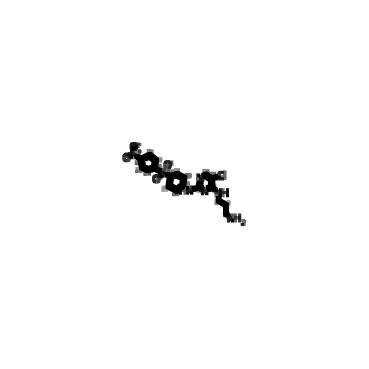 NCCCNc1nc(Nc2ccc(S(=O)(=O)c3ccc([N+](=O)[O-])cc3)cc2)ncc1Cl